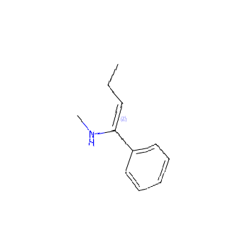 CC/C=C(\NC)c1ccccc1